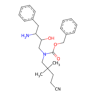 CC(C)(CCC#N)CN(CC(O)C(N)Cc1ccccc1)C(=O)OCc1ccccc1